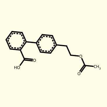 CC(=O)OCCc1ccc(-c2ccccc2C(=O)O)cc1